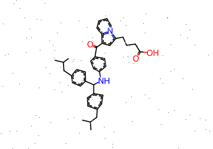 CC(C)Cc1ccc(C(Nc2ccc(C(=O)c3cc(CCCC(=O)O)n4ccccc34)cc2)c2ccc(CC(C)C)cc2)cc1